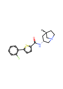 O=C(N[C@@H]1C[C@@H]2CCN(C2)C1)c1ccc(-c2ccccc2F)s1